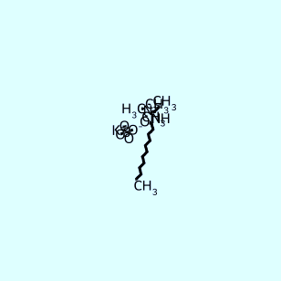 CCCCCCCCCCCC(=O)NC(CC)[N+](C)(C)C.O=S(=O)([O-])[O-].[K+]